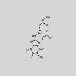 CC(C)=CCn1c(N[C@@H]2C[C@@H]2NC(=O)OC(C)(C)C)nc2c1c(=O)n(C)c(=O)n2C